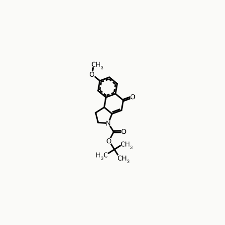 COc1ccc2c(c1)C1CCN(C(=O)OC(C)(C)C)C1=CC2=O